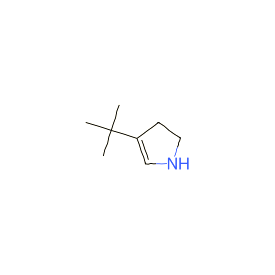 CC(C)(C)C1=CNCC1